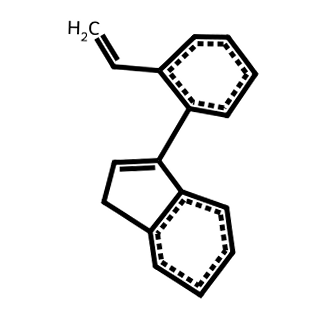 C=Cc1ccccc1C1=CCc2ccccc21